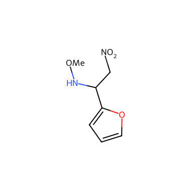 CONC(C[N+](=O)[O-])c1ccco1